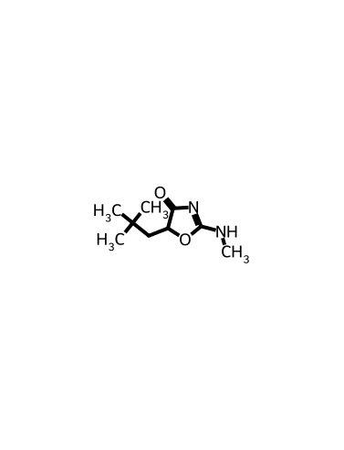 CNC1=NC(=O)C(CC(C)(C)C)O1